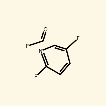 Fc1ccc(F)nc1.O=CF